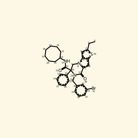 CCc1cc2c(cc3n2CC(C(=O)NC2CCCCCCC2)(c2ccccc2)N(Cc2cccc(Br)c2)C3=O)s1